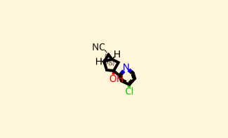 N#C[C@@H]1[C@H]2CC(O)(c3cc(Cl)ccn3)C[C@@H]12